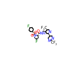 O=C(NCc1cc(-c2cnc(C(F)(F)F)nc2)ncc1C(F)(F)F)[C@@H]1C[C@@H](F)CN1S(=O)(=O)c1ccc(F)cc1